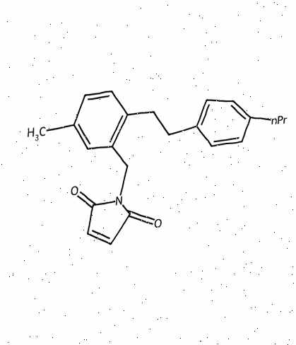 CCCc1ccc(CCc2ccc(C)cc2CN2C(=O)C=CC2=O)cc1